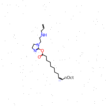 C=CCNCCN1CCN=C1OC(=O)CCCCCCC/C=C\CCCCCCCC